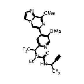 C#CC(NC(=O)N(CC)C(c1cc(-c2cn3ccnc3c(OC)n2)c(OC)cn1)C(F)(F)F)C(F)(F)F